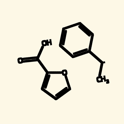 C[CH]c1ccccc1.O=C(O)c1ccco1